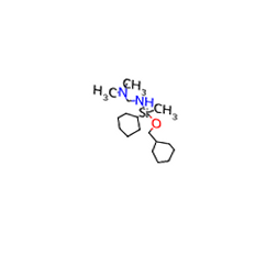 CN(C)CN[Si](C)(OCC1CCCCC1)C1CCCCC1